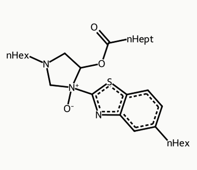 CCCCCCCC(=O)OC1CN(CCCCCC)C[N+]1([O-])c1nc2cc(CCCCCC)ccc2s1